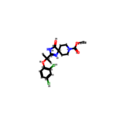 CC(C)(C)OC(=O)N1CCC2(CC1)N=C(C(C)(C)Oc1ccc(Cl)cc1Cl)NC2=O